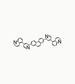 c1cc(-c2ccnc(-c3ccc4c(ccc5cc(-c6cc(-c7cccc8ncccc78)ccn6)ccc54)c3)c2)c2cccnc2c1